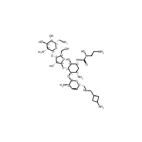 NCCN(O)C(=O)N[C@@H]1C[C@H](N)[C@@H](O[C@H]2O[C@H](CNCC3CC(N)C3)C=C[C@H]2N)[C@H](O[C@@H]2O[C@H](CO)[C@@H](O[C@H]3O[C@@H](CN)[C@@H](O)[C@H](O)[C@H]3N)[C@H]2O)[C@H]1O